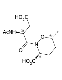 CC(=O)N[C@@H](CC(=O)O)C(=O)N1O[C@H](C)CC[C@H]1C(=O)O